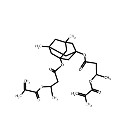 C=C(C)C(=O)OC(C)CC(=O)OC12CC3(C)CC(C)(C1)CC(OC(=O)CC(C)OC(=O)C(=C)C)(C3)C2